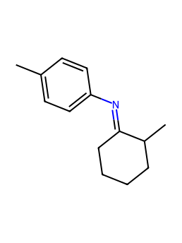 Cc1ccc(N=C2CCCCC2C)cc1